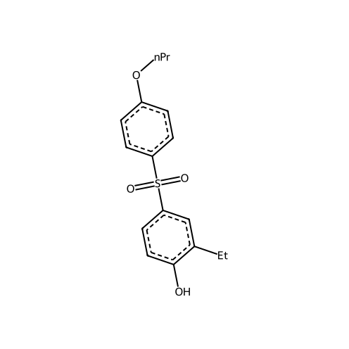 CCCOc1ccc(S(=O)(=O)c2ccc(O)c(CC)c2)cc1